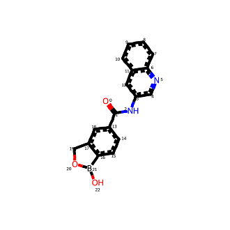 O=C(Nc1cnc2ccccc2c1)c1ccc2c(c1)COB2O